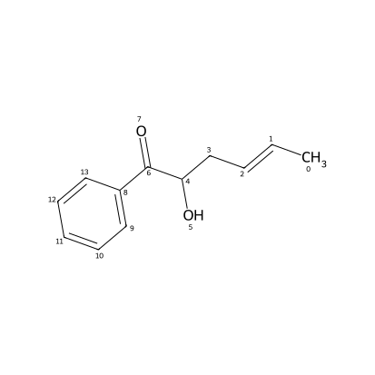 CC=CCC(O)C(=O)c1ccccc1